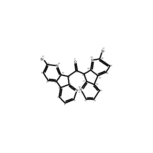 O=C(C1c2ncccc2-c2ccc(Br)nc21)C1c2ncccc2-c2ccc(Br)nc21